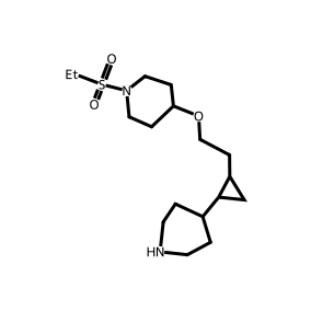 CCS(=O)(=O)N1CCC(OCCC2CC2C2CCNCC2)CC1